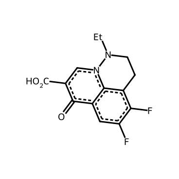 CCN1CCc2c(F)c(F)cc3c(=O)c(C(=O)O)cn1c23